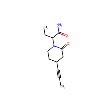 CC#CC1CCN(C(CC)C(N)=O)C(=O)C1